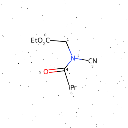 CCOC(=O)CN(C#N)C(=O)C(C)C